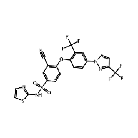 N#Cc1cc(S(=O)(=O)Nc2nccs2)ccc1Oc1ccc(-n2ccc(C(F)(F)F)n2)cc1C(F)(F)F